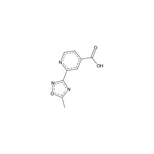 Cc1nc(-c2cc(C(=O)O)ccn2)no1